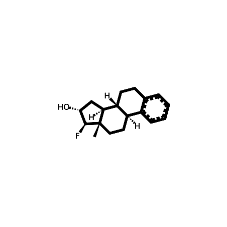 C[C@]12CC[C@@H]3c4ccccc4CC[C@H]3[C@@H]1C[C@@H](O)[C@@H]2F